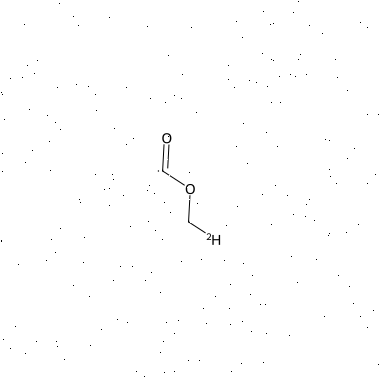 [2H]CO[C]=O